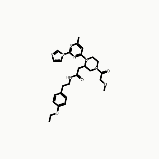 CCOc1ccc(CCNC(=O)CC2CN(C(=O)COC)CCN2c2cc(C)nc(-n3ccnc3)n2)cc1